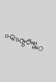 O=c1cc(OCc2ccc(Cl)cn2)ccn1-c1ccc(NCCNC2CCCCC2)nc1